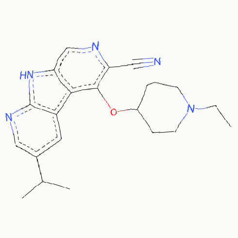 CCN1CCC(Oc2c(C#N)ncc3[nH]c4ncc(C(C)C)cc4c23)CC1